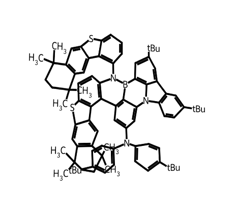 CC(C)(C)c1ccc(N(c2ccc(C(C)(C)C)cc2)c2cc3c4c(c2)-n2c5ccc(C(C)(C)C)cc5c5cc(C(C)(C)C)cc(c52)B4N(c2cccc4sc5cc6c(cc5c24)C(C)(C)CCC6(C)C)c2ccc4sc5cc6c(cc5c4c2-3)C(C)(C)CCC6(C)C)cc1